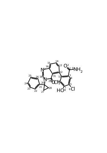 NC(=O)c1cc(Cl)c(O)c(Cl)c1-c1cccc2ncn(C3(c4ccccc4)CC3)c(=O)c12